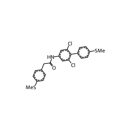 CSc1ccc(CC(=O)Nc2cc(Cl)c(-c3ccc(SC)cc3)c(Cl)c2)cc1